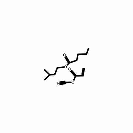 C=CC(=O)OC#N.CCCCC(=O)OCCC(C)C